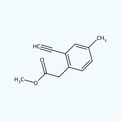 C#Cc1cc(C)ccc1CC(=O)OC